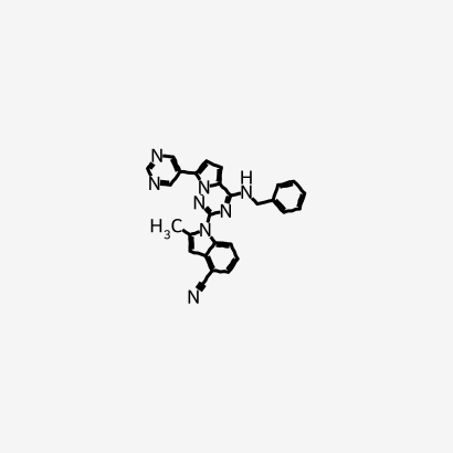 Cc1cc2c(C#N)cccc2n1-c1nc(NCc2ccccc2)c2ccc(-c3cncnc3)n2n1